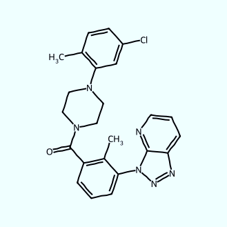 Cc1ccc(Cl)cc1N1CCN(C(=O)c2cccc(-n3nnc4cccnc43)c2C)CC1